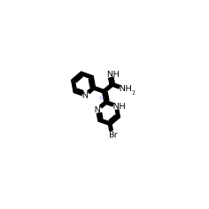 N=C(N)/C(=C1/N=CC(Br)=CN1)c1ccccn1